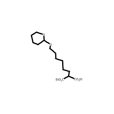 CCOC(=O)C(CCCCCCOC1CCCCO1)C(=O)OCC